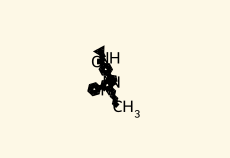 CCCCCc1nc(-c2ccccc2)cn2c(-c3ccc(C(=O)NC4CC4)cc3)cnc12